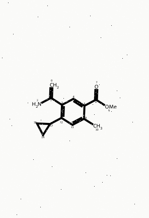 C=C(N)c1cc(C(=O)OC)c(C)cc1C1CC1